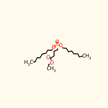 CCCCCCCCOP(=O)(CCCC(=O)OCC)OCCCCCCCC